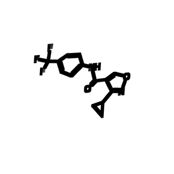 O=C(Nc1ccc(C(F)(F)F)cc1)c1conc1C1CC1